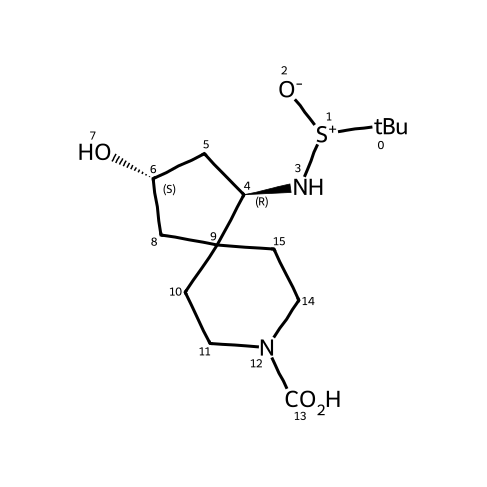 CC(C)(C)[S+]([O-])N[C@@H]1C[C@@H](O)CC12CCN(C(=O)O)CC2